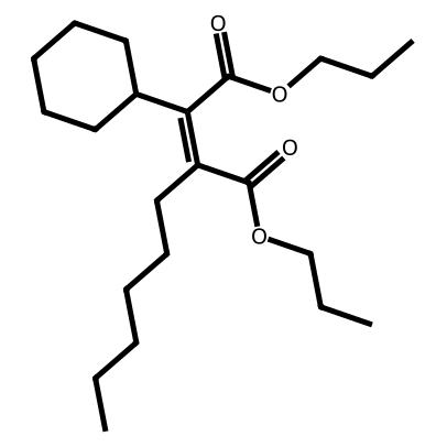 CCCCCC/C(C(=O)OCCC)=C(/C(=O)OCCC)C1CCCCC1